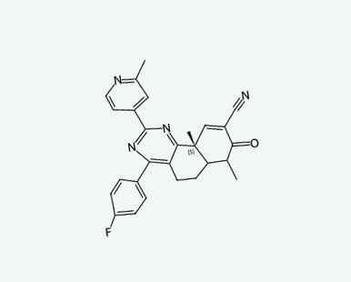 Cc1cc(-c2nc(-c3ccc(F)cc3)c3c(n2)[C@]2(C)C=C(C#N)C(=O)C(C)C2CC3)ccn1